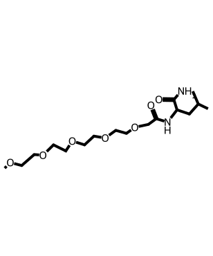 COCCOCCOCCOCCOCC(=O)NC(CC(C)C)C(N)=O